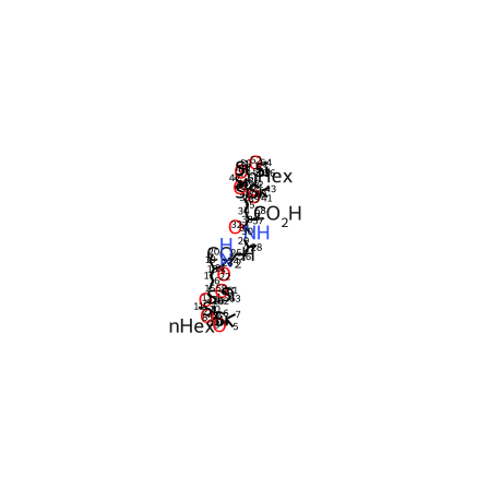 CCCCCC[Si](C)(O[Si](C)(C)C)O[Si](C)(C)O[Si](C)(CCCC(CC(=O)O)C(=O)NCCCC(C)CNC(=O)C(CCC[Si](C)(O[Si](C)(C)C)O[Si](C)(C)O[Si](C)(CCCCCC)O[Si](C)(C)C)CC(=O)O)O[Si](C)(C)C